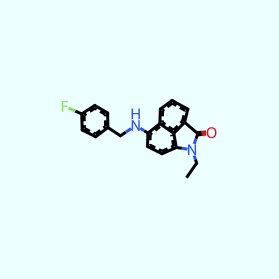 CCN1C(=O)c2cccc3c(NCc4ccc(F)cc4)ccc1c23